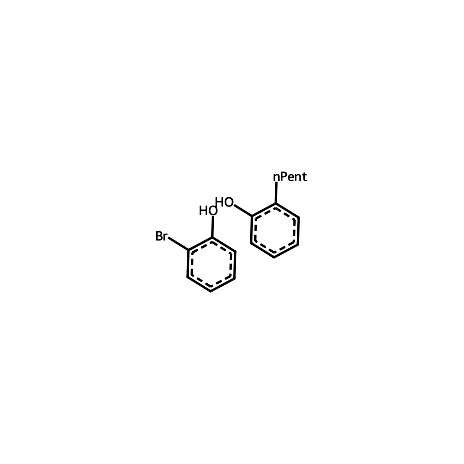 CCCCCc1ccccc1O.Oc1ccccc1Br